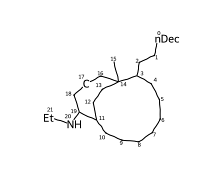 CCCCCCCCCCCCC1CCCCCCCC2CCC1(C)CCCC2NCC